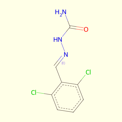 NC(=O)N/N=C/c1c(Cl)cccc1Cl